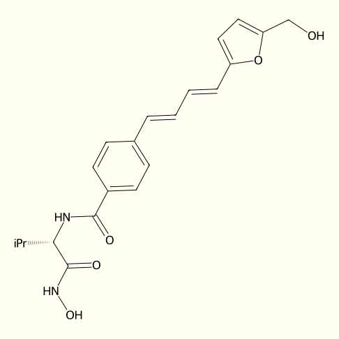 CC(C)[C@H](NC(=O)c1ccc(/C=C/C=C/c2ccc(CO)o2)cc1)C(=O)NO